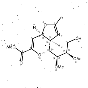 COC(=O)C1=C[C@H]2OC(C)=N[C@H]2[C@H]([C@H](OC)[C@@H](CO)OC(C)=O)O1